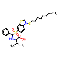 CCCCCCCCSN1CSc2cc(S(=O)(=O)C(N[C@@H](C(=O)O)C(C)C)c3ccccc3)ccc21